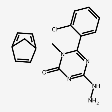 C1=CC2=CC=C1C2.Cn1c(-c2ccccc2Cl)nc(NN)nc1=O